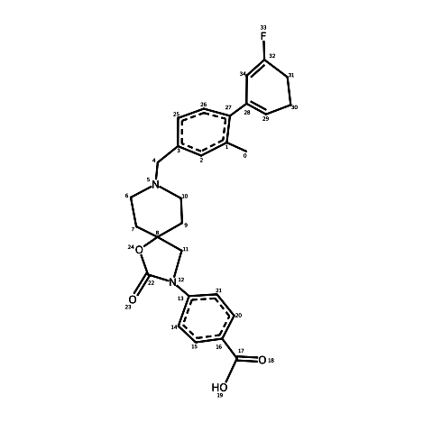 Cc1cc(CN2CCC3(CC2)CN(c2ccc(C(=O)O)cc2)C(=O)O3)ccc1C1=CCCC(F)=C1